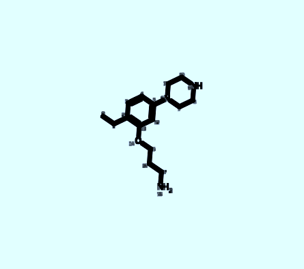 CCc1ccc(N2CCNCC2)cc1OCCCN